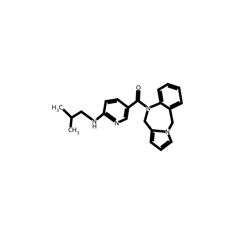 CC(C)CNc1ccc(C(=O)N2Cc3cccn3Cc3ccccc32)cn1